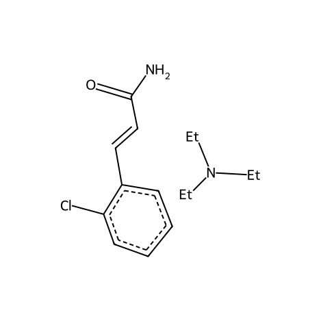 CCN(CC)CC.NC(=O)/C=C/c1ccccc1Cl